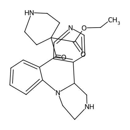 CCOC(=O)C1(C(=O)c2ccccc2N2CCNCC2c2ccncc2)CCNCC1